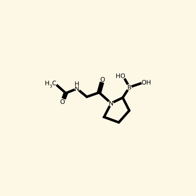 CC(=O)NCC(=O)N1CCCC1B(O)O